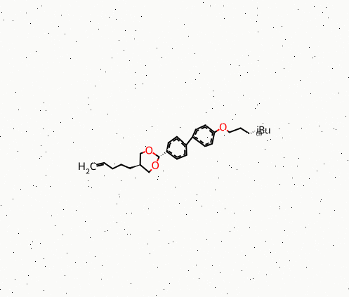 C=CCCC[C@H]1CO[C@H](c2ccc(-c3ccc(OCCC[C@@H](C)CC)cc3)cc2)OC1